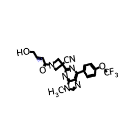 Cn1cnc2c(-c3ccc(OC(F)(F)F)cc3)nc(C3(C#N)CN(C(=O)/C=C/CO)C3)nc21